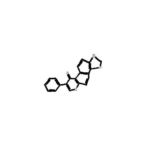 O=c1c(-c2ccccc2)coc2ccc3c4c(ccc3c12)OCO4